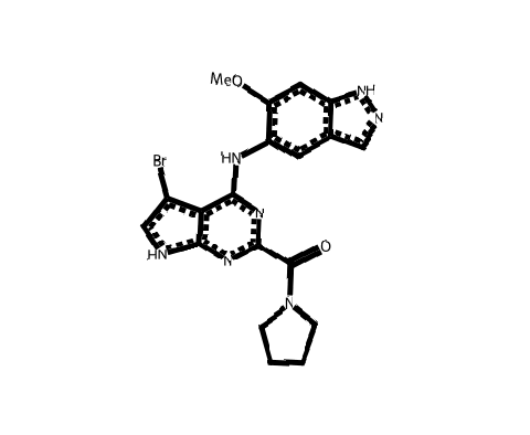 COc1cc2[nH]ncc2cc1Nc1nc(C(=O)N2CCCC2)nc2[nH]cc(Br)c12